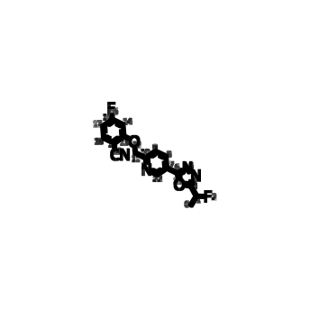 CC(F)c1nnc(-c2ccc(COc3cc(F)ccc3C#N)nc2)o1